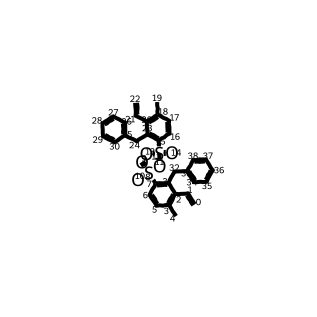 C=Cc1c(C)ccc(S(=O)(=O)OS(=O)(=O)c2ccc(C)c(C=C)c2Cc2ccccc2)c1Cc1ccccc1